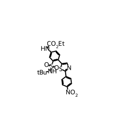 CCOC(=O)Nc1ccc(-c2cnc(-c3ccc([N+](=O)[O-])cc3)s2)c(S(=O)(=O)NC(C)(C)C)c1